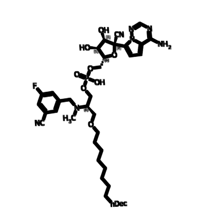 CCCCCCCCCCCCCCCCCCOC[C@H](COP(=O)(O)OC[C@H]1O[C@@](C#N)(c2ccc3c(N)ncnn23)[C@H](O)[C@@H]1O)N(C)Cc1cc(F)cc(C#N)c1